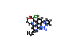 Cc1cc(N2CCCOC[C@H]2c2ccc(-n3cccn3)cc2Cl)nc(N)n1